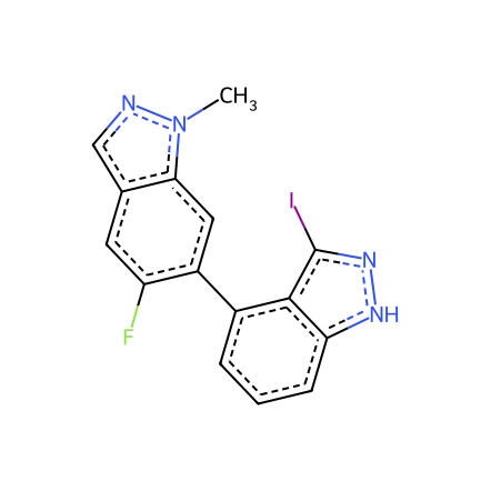 Cn1ncc2cc(F)c(-c3cccc4[nH]nc(I)c34)cc21